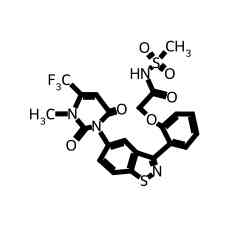 Cn1c(C(F)(F)F)cc(=O)n(-c2ccc3snc(-c4ccccc4OCC(=O)NS(C)(=O)=O)c3c2)c1=O